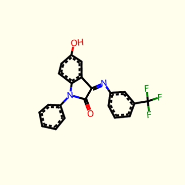 O=C1/C(=N\c2cccc(C(F)(F)F)c2)c2cc(O)ccc2N1c1ccccc1